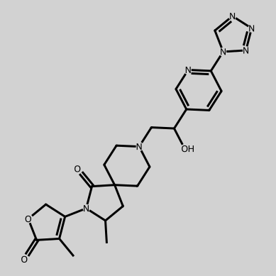 CC1=C(N2C(=O)C3(CCN(CC(O)c4ccc(-n5cnnn5)nc4)CC3)CC2C)COC1=O